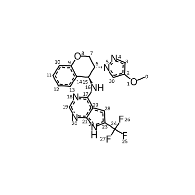 COc1cnn([C@H]2COc3ccccc3[C@@H]2Nc2ncnc3[nH]c(C(F)(F)F)cc23)c1